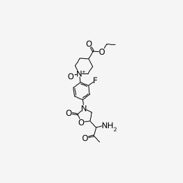 CCOC(=O)C1CC[N+]([O-])(c2ccc(N3CC(C(N)C(C)=O)OC3=O)cc2F)CC1